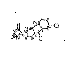 O=c1c2cc(Cl)ccc2oc2cc(-c3nnn[nH]3)cnc12